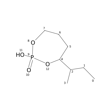 CCC(C)C1CCCOP(=O)(O)O1